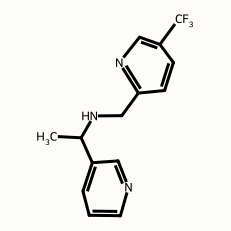 CC(NCc1ccc(C(F)(F)F)cn1)c1cccnc1